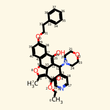 CCOC(=O)c1c(C)oc2c1c(C(c1ccncc1)N1CCOCC1)c(O)c1cc(OCCc3ccccc3)ccc12